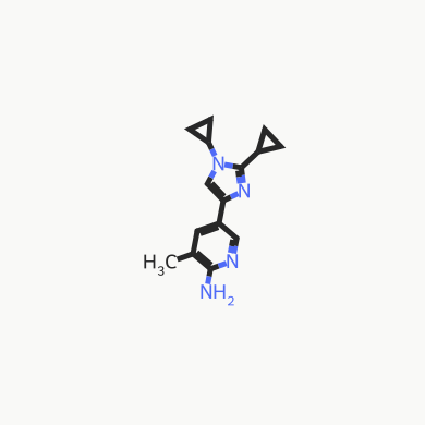 Cc1cc(-c2cn(C3CC3)c(C3CC3)n2)cnc1N